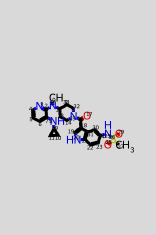 CN(c1ncccc1NC1CC1)C1CCN(C(=O)c2c[nH]c3ccc(NS(C)(=O)=O)cc23)CC1